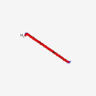 Cc1cn(CCOCCOCCOCCOCCOCCOCCOCCOCCOCCOCCOCCOCCOCCOCCOCCOCCOCCOCCOCCOCCOCCOCCOCCN=[N+]=[N-])nn1